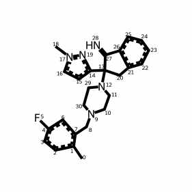 Cc1ccc(F)cc1CN1CCN(C2(c3ccn(C)n3)Cc3ccccc3C2=N)CC1